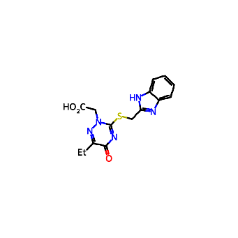 CCc1nn(CC(=O)O)c(SCc2nc3ccccc3[nH]2)nc1=O